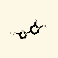 Cc1ccn(-c2ccn(C)c(=O)c2)n1